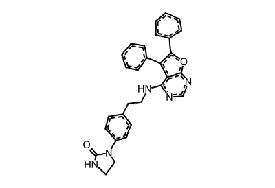 O=C1NCCN1c1ccc(CCNc2ncnc3oc(-c4ccccc4)c(-c4ccccc4)c23)cc1